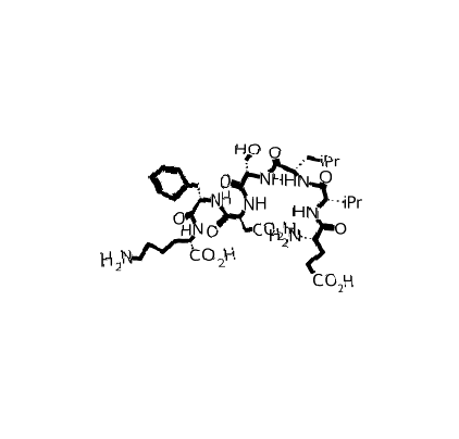 CC(C)C[C@H](NC(=O)[C@@H](NC(=O)[C@@H](N)CCC(=O)O)C(C)C)C(=O)N[C@@H](CO)C(=O)N[C@@H](CC(=O)O)C(=O)N[C@@H](Cc1ccccc1)C(=O)N[C@@H](CCCCN)C(=O)O